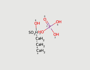 O=P(O)(O)O.O=S(=O)(O)O.[CaH2].[CaH2].[CaH2]